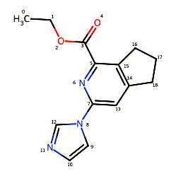 CCOC(=O)c1nc(-n2ccnc2)cc2c1CCC2